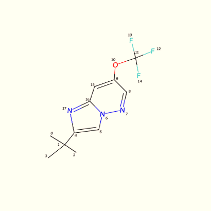 CC(C)(C)c1cn2ncc(OC(F)(F)F)cc2n1